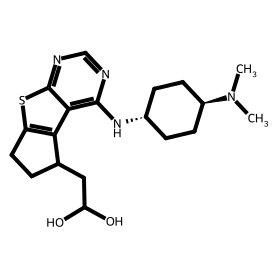 CN(C)[C@H]1CC[C@H](Nc2ncnc3sc4c(c23)C(CC(O)O)CC4)CC1